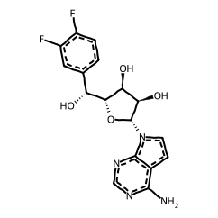 Nc1ncnc2c1ccn2[C@@H]1O[C@H]([C@H](O)c2ccc(F)c(F)c2)[C@@H](O)[C@H]1O